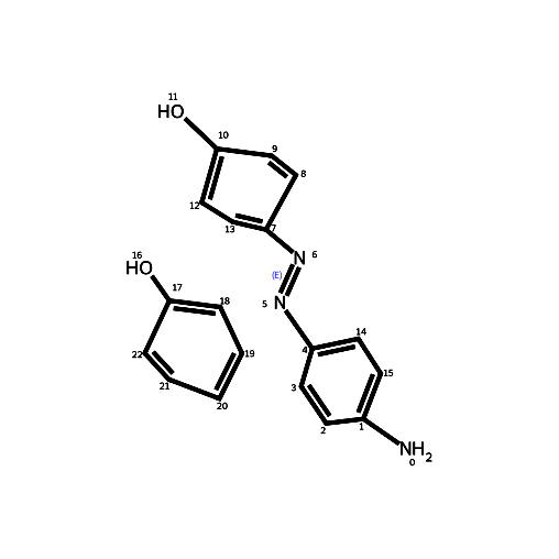 Nc1ccc(/N=N/c2ccc(O)cc2)cc1.Oc1ccccc1